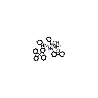 CN(Cc1ccccc1)N/C(=N\CNc1cc2c(cc1-c1ccccc1)C(c1ccccc1)(c1ccccc1)c1ccccc1-2)c1cccc2c1oc1ccccc12